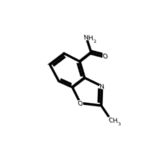 Cc1nc2c(C(N)=O)c[c]cc2o1